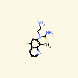 Cc1c(N(CCN)C(N)=S)cc(F)c2cccnc12